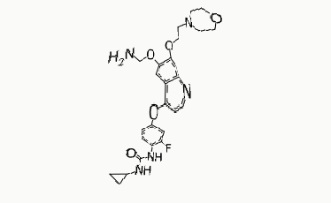 NCOc1cc2c(Oc3ccc(NC(=O)NC4CC4)c(F)c3)ccnc2cc1OCCN1CCOCC1